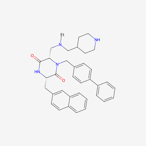 CCN(CC1CCNCC1)C[C@H]1C(=O)N[C@@H](Cc2ccc3ccccc3c2)C(=O)N1Cc1ccc(-c2ccccc2)cc1